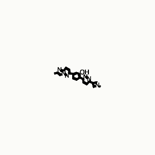 Cc1cn2nc(-c3ccc(-c4ccc(C5CN(C)C5)nn4)c(O)c3)ccc2n1